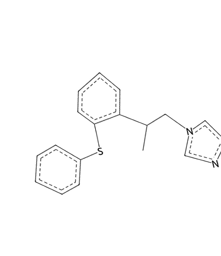 CC(Cn1cnnc1)c1ccccc1Sc1ccccc1